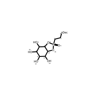 CCCCCCCCCCCCP1(=O)OC2C(O)C(O)C(O)C(O)C2O1